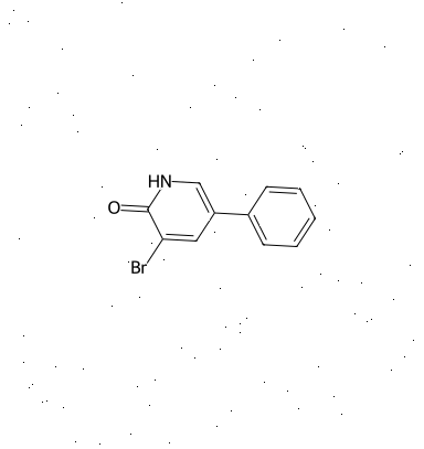 O=c1[nH]cc(-c2ccccc2)cc1Br